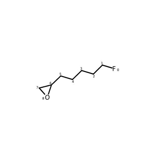 FCCCCCC1CO1